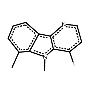 Cc1cccc2c3nccc(I)c3n(C)c12